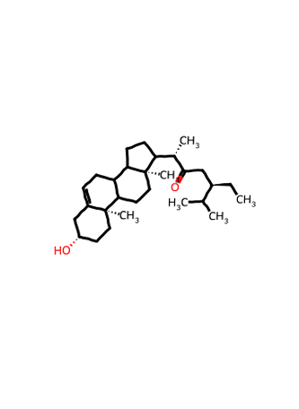 CC[C@H](CC(=O)[C@@H](C)C1CCC2C3CC=C4C[C@@H](O)CC[C@]4(C)C3CC[C@@]21C)C(C)C